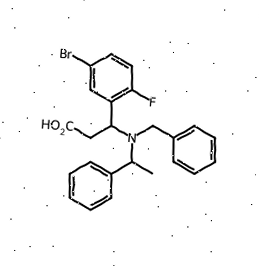 CC(c1ccccc1)N(Cc1ccccc1)C(CC(=O)O)c1cc(Br)ccc1F